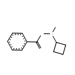 CN(OC(=O)c1ccccc1)C1CCC1